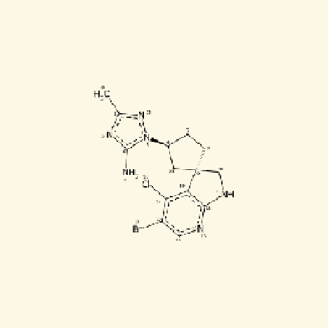 Cc1nc(N)n([C@H]2CC[C@@]3(CNc4ncc(Br)c(Cl)c43)C2)n1